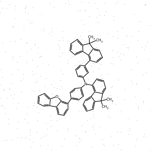 CC1(C)c2ccccc2-c2c(-c3cccc(N(c4ccc(-c5cccc6c5oc5ccccc56)cc4)c4cccc5c4-c4ccccc4C5(C)C)c3)cccc21